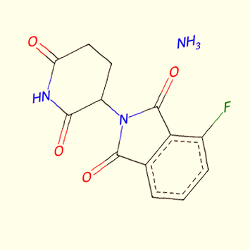 N.O=C1CCC(N2C(=O)c3cccc(F)c3C2=O)C(=O)N1